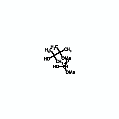 COC(C)(C)C(C)(C)O.CO[PH](=O)O